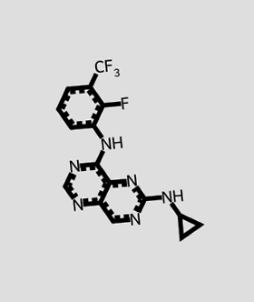 Fc1c(Nc2ncnc3cnc(NC4CC4)nc23)cccc1C(F)(F)F